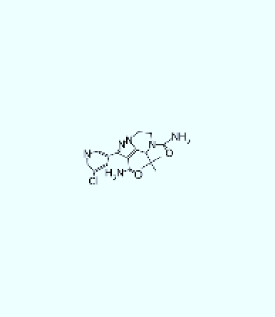 CC(C)(C)C1c2c(C(N)=O)c(-c3cncc(Cl)c3)nn2CCN1C(N)=O